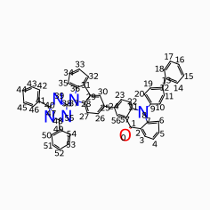 O=c1c2ccccc2n(-c2ccc(-c3ccccc3)cc2)c2ccc(-c3ccc4c(c3)c3ccccc3n4-c3nc(-c4ccccc4)nc(-c4ccccc4)n3)cc12